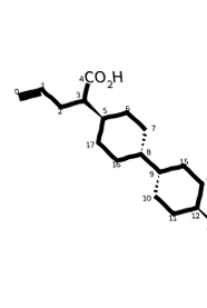 C=CCC(C(=O)O)[C@H]1CC[C@H]([C@H]2CC[C@H](C)CC2)CC1